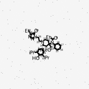 CC(C)c1cccc(C(C)C)c1O.CCC(=O)N(c1ccccc1)C1(COC)CCN(CCn2nnn(CC)c2=O)CC1